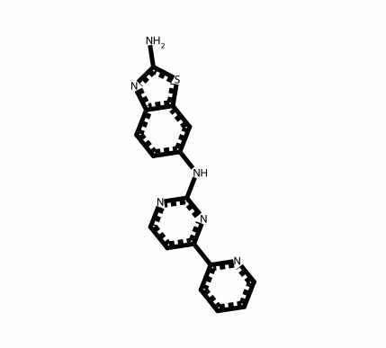 Nc1nc2ccc(Nc3nccc(-c4ccccn4)n3)cc2s1